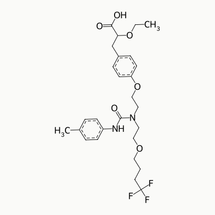 CCOC(Cc1ccc(OCCN(CCOCCCC(F)(F)F)C(=O)Nc2ccc(C)cc2)cc1)C(=O)O